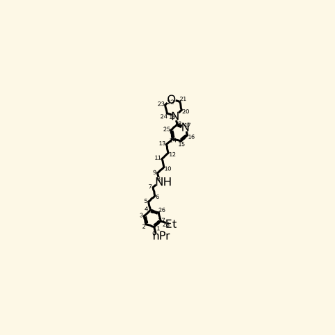 CCCc1ccc(CCCNCCCCCc2ccnc(N3CCOCC3)c2)cc1CC